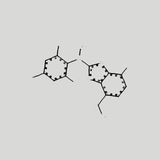 CCCCN(c1nc2c(Cl)ccc(CO)c2[nH]1)c1c(C)cc(Cl)cc1Cl